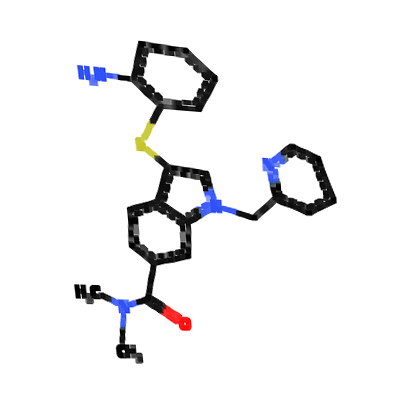 CN(C)C(=O)c1ccc2c(Sc3ccccc3N)cn(Cc3ccccn3)c2c1